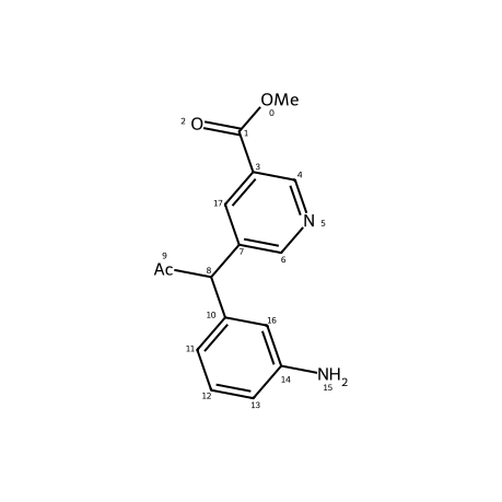 COC(=O)c1cncc(C(C(C)=O)c2cccc(N)c2)c1